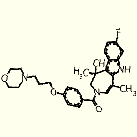 CC1=CN(C(=O)c2ccc(OCCCN3CCOCC3)cc2)CC(C)(C)c2c1[nH]c1cc(F)ccc21